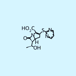 C[C@H](O)[C@H]1C(=O)N2C(C(=O)O)=C(Sc3ncccn3)C[C@H]12